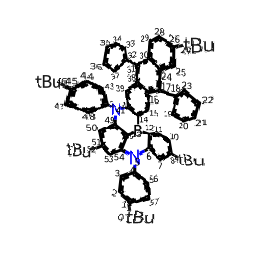 CC(C)(C)c1ccc(N2c3cc(C(C)(C)C)ccc3B3c4cc5c(-c6ccccc6)c6cc(C(C)(C)C)ccc6c(-c6ccccc6)c5cc4N(c4ccc(C(C)(C)C)cc4)c4cc(C(C)(C)C)cc2c43)cc1